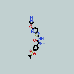 N=C(C(=O)Nc1nc2ccc(OC3CNC3)nc2s1)c1ccc(S(=O)(=O)C2CC2)cc1